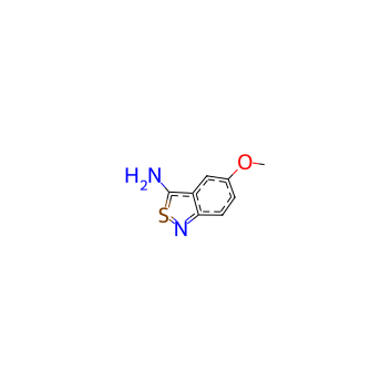 COc1ccc2nsc(N)c2c1